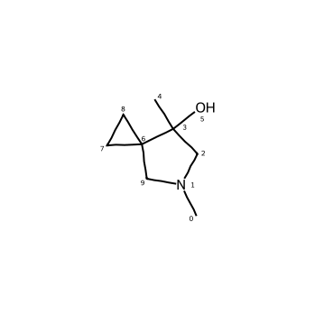 CN1CC(C)(O)C2(CC2)C1